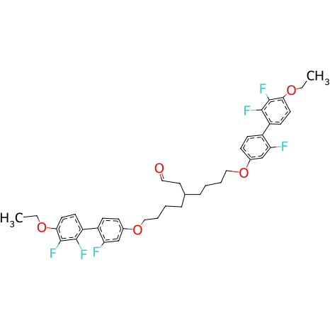 CCOc1ccc(-c2ccc(OCCCCC(CC=O)CCCCOc3ccc(-c4ccc(OCC)c(F)c4F)c(F)c3)cc2F)c(F)c1F